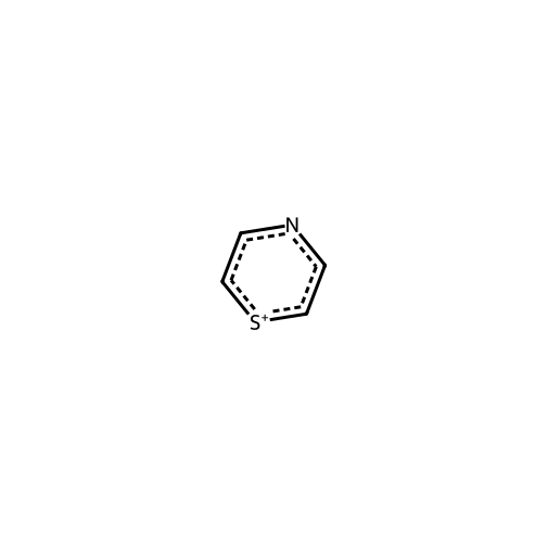 c1c[s+]ccn1